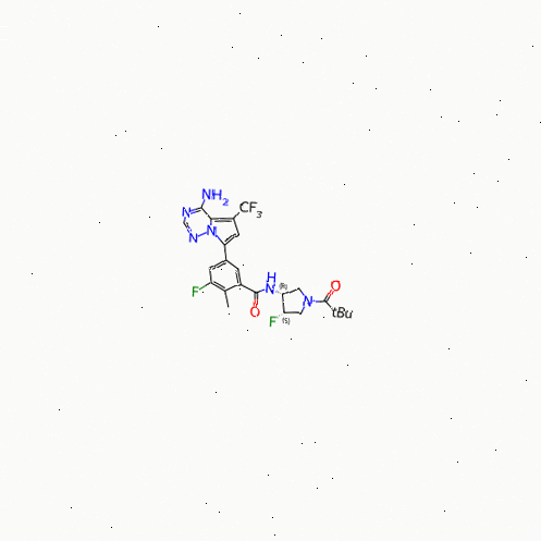 Cc1c(F)cc(-c2cc(C(F)(F)F)c3c(N)ncnn23)cc1C(=O)N[C@@H]1CN(C(=O)C(C)(C)C)C[C@@H]1F